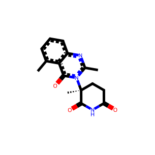 Cc1cccc2nc(C)n([C@@]3(C)CCC(=O)NC3=O)c(=O)c12